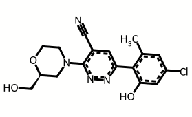 Cc1cc(Cl)cc(O)c1-c1cc(C#N)c(N2CCO[C@H](CO)C2)nn1